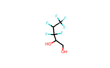 OCC(O)C(F)(F)C(F)C(F)(F)F